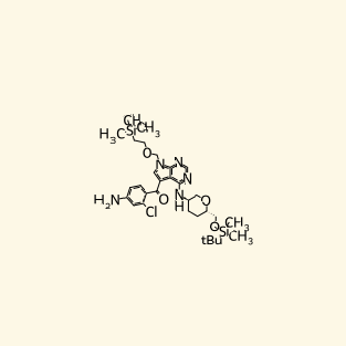 CC(C)(C)[Si](C)(C)OC[C@@H]1CC[C@@H](Nc2ncnc3c2c(C(=O)c2ccc(N)cc2Cl)cn3COCC[Si](C)(C)C)CO1